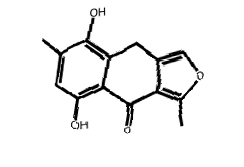 Cc1cc(O)c2c(c1O)Cc1coc(C)c1C2=O